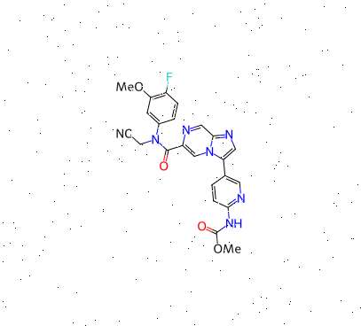 COC(=O)Nc1ccc(-c2cnc3cnc(C(=O)N(CC#N)c4ccc(F)c(OC)c4)cn23)cn1